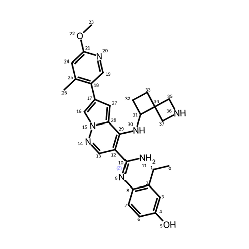 CCc1cc(O)ccc1/N=C(\N)c1cnn2cc(-c3cnc(OC)cc3C)cc2c1NC1CCC12CNC2